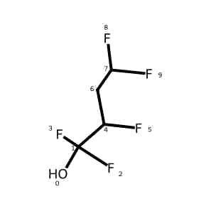 OC(F)(F)C(F)CC(F)F